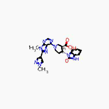 Cn1cc(-c2nc3c(N4CC[C@@H](n5c(=O)[nH]c6ccccc65)[C@H](C(=O)O)C4)ncnc3n2C)cn1